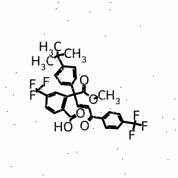 COC(=O)C(/C=C/C(=O)c1ccc(C(F)(F)F)cc1)(c1ccc(C(C)(C)C)cc1)c1cc(C(F)(F)F)ccc1C(=O)O